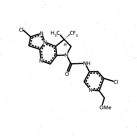 COCc1ncc(NC(=O)N2C[C@@](C)(C(F)(F)F)c3c2cnc2cc(Cl)nn32)cc1Cl